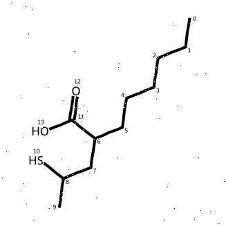 CCCCCCC(CC(C)S)C(=O)O